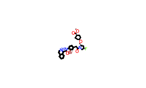 COC(=O)[C@H]1CC[C@H](OC[C@@H]2C[C@H](F)CN2C(=O)Cc2ccc(NC(=O)c3nccc4ccccc34)c(Br)c2)CC1